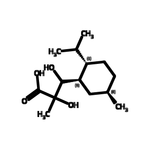 CC(C)[C@@H]1CC[C@@H](C)C[C@H]1C(O)C(C)(O)C(=O)O